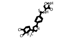 O=C1NOCC1NC(=S)c1ccc(C2=NCC(c3ccc(Cl)c(Cl)c3)(C(F)(F)F)C2)cc1